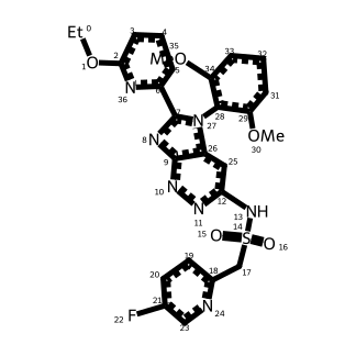 CCOc1cccc(-c2nc3nnc(NS(=O)(=O)Cc4ccc(F)cn4)cc3n2-c2c(OC)cccc2OC)n1